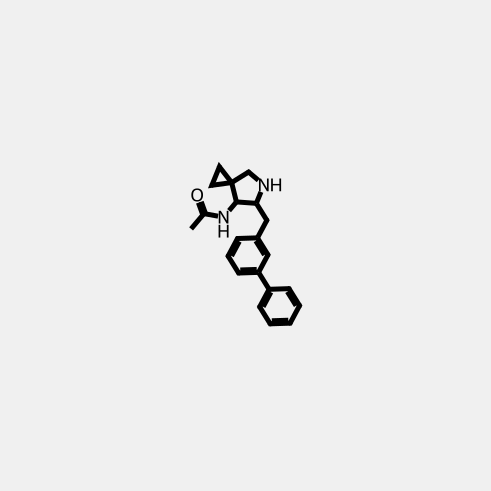 CC(=O)NC1C(Cc2cccc(-c3ccccc3)c2)NCC12CC2